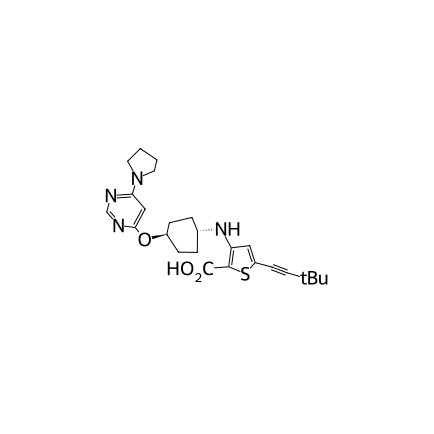 CC(C)(C)C#Cc1cc(N[C@H]2CC[C@H](Oc3cc(N4CCCC4)ncn3)CC2)c(C(=O)O)s1